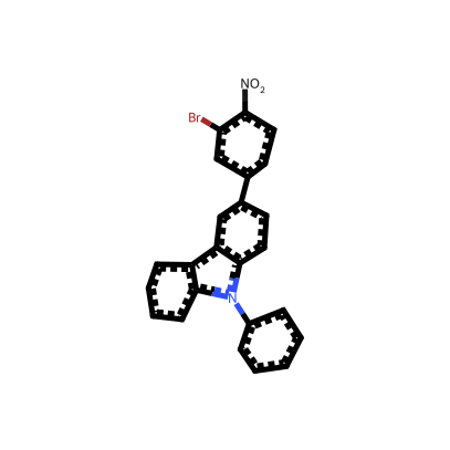 O=[N+]([O-])c1ccc(-c2ccc3c(c2)c2ccccc2n3-c2ccccc2)cc1Br